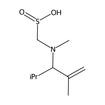 C=C(C)C(C(C)C)N(C)CS(=O)O